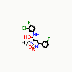 CN1[C@@H](C(O)Nc2ccc(F)c(Cl)c2)CC(c2cccc(F)c2)NS1(=O)=O